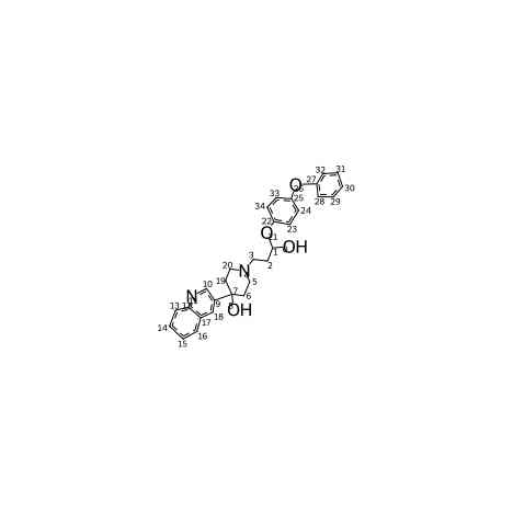 OC(CCN1CCC(O)(c2cnc3ccccc3c2)CC1)Oc1ccc(Oc2ccccc2)cc1